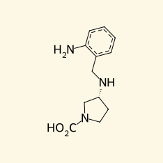 Nc1ccccc1CN[C@@H]1CCN(C(=O)O)C1